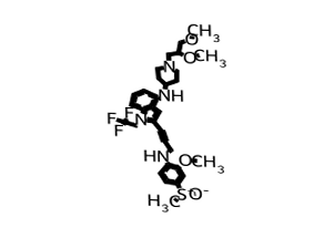 COCC(CN1CCC(Nc2cccc3c2cc(C#CCNc2ccc([S+](C)[O-])cc2OC)n3CC(F)(F)F)CC1)OC